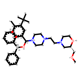 COC[C@@H]1CN(CCN2CCN(C(O[SiH](c3ccccc3)c3ccccc3)c3ccc(C)c(C(C)(C)C)c3)CC2)CCO1